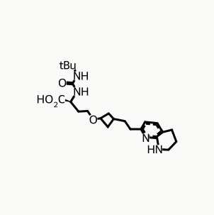 CC(C)(C)NC(=O)N[C@@H](CCOC1CC(CCc2ccc3c(n2)NCCC3)C1)C(=O)O